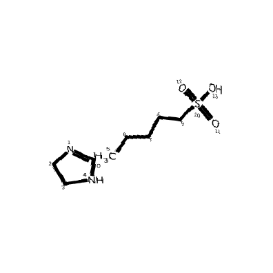 C1=NCCN1.CCCCCS(=O)(=O)O